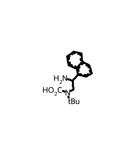 CC(C)(C)N(CC(N)c1cccc2ccccc12)C(=O)O